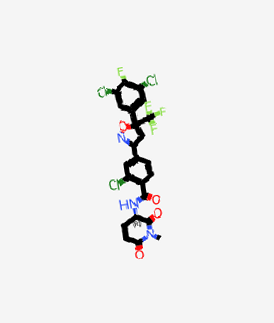 CN1C(=O)CC[C@@H](NC(=O)c2ccc(C3=NOC(c4cc(Cl)c(F)c(Cl)c4)(C(F)(F)F)C3)cc2Cl)C1=O